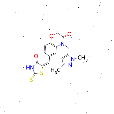 Cc1cc(CN2C(=O)COc3ccc(/C=C4/SC(=S)NC4=O)cc32)n(C)n1